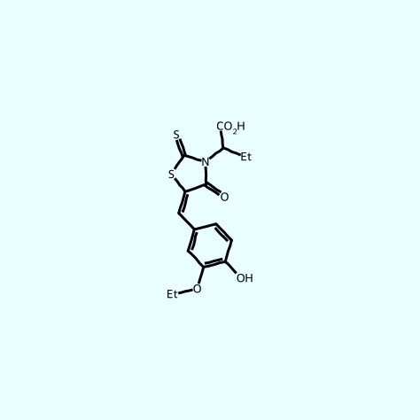 CCOc1cc(C=C2SC(=S)N(C(CC)C(=O)O)C2=O)ccc1O